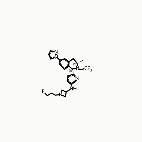 C[C@H]1Cc2cc(-n3cccn3)ccc2[C@@H](c2ccc(NC3CN(CCCF)C3)cn2)N1CC(F)(F)F